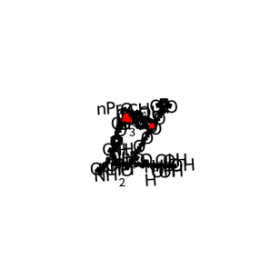 CCCC1O[C@@H]2C[C@H]3[C@@H]4CCC5=CC(=O)C=C[C@]5(C)[C@H]4[C@@H](O)C[C@]3(C)[C@]2(C(=O)COC(=O)OCc2ccc(NC(=O)[C@H](CCCNC(N)=O)NC(=O)[C@@H](NC(=O)[C@@H](CCCC(=O)NC[C@H](O)[C@@H](O)[C@H](O)[C@H](O)CO)NC(=O)CCOCCOCCOCCOCCN3C(=O)C=CC3=O)C(C)C)cc2)O1